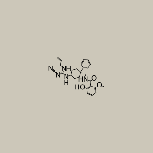 C=CCN/C(=N\C#N)N[C@H]1CC[C@@](CNC(=O)c2c(O)cccc2OC)(c2ccccc2)CC1